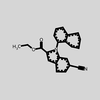 CCOC(=O)c1cc2ccc(C#N)cc2n1-c1cccc2ccccc12